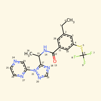 CCc1cc(SC(F)(F)F)cc(C(=O)NC(C)c2ncnn2-c2cnccn2)c1